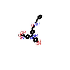 O=C(C=Cc1ccc(-c2[nH]c(-c3ccc(C(=O)O)cc3)nc2-c2ccc(C3=NOC(C(=O)O)C3)cc2)cc1)NCCCc1ccccc1